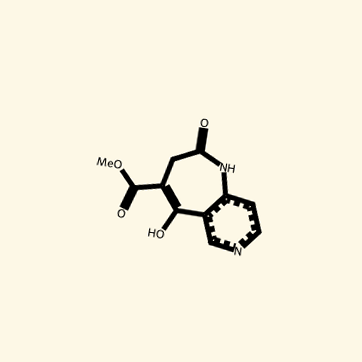 COC(=O)C1=C(O)c2cnccc2NC(=O)C1